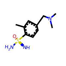 Cc1cc(CN(C)C)ccc1S(=N)(N)=O